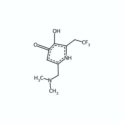 CN(C)Cc1cc(=O)c(O)c(CC(F)(F)F)[nH]1